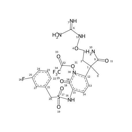 CC(CCONC(=N)N)(C(N)=O)c1ccc(NS(=O)(=O)Cc2cccc(F)c2)c(=O)n1OC(=O)C(F)(F)F